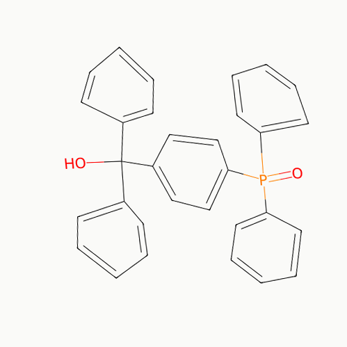 O=P(c1ccccc1)(c1ccccc1)c1ccc(C(O)(c2ccccc2)c2ccccc2)cc1